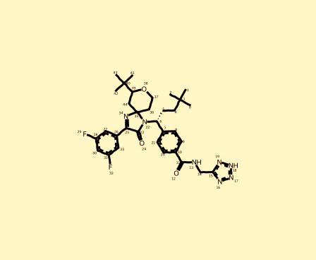 CC(C)(C)CC[C@H](c1ccc(C(=O)NCc2nn[nH]n2)cc1)N1C(=O)C(c2cc(F)cc(F)c2)=NC12CCOC(C(C)(C)C)C2